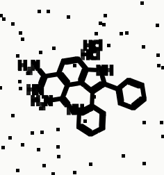 Cl.Cl.N=C(N)c1ccc2[nH]c(-c3ccccc3)c(-c3ccccc3)c2c1C(=N)N